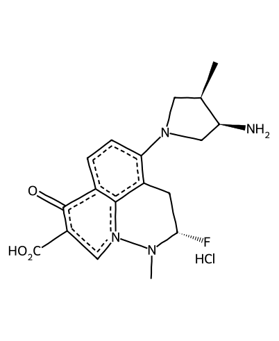 C[C@@H]1CN(c2ccc3c(=O)c(C(=O)O)cn4c3c2C[C@H](F)N4C)C[C@@H]1N.Cl